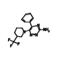 Nc1nnc(N2CCCC(C(F)(F)F)C2)c(-c2ccccc2)n1